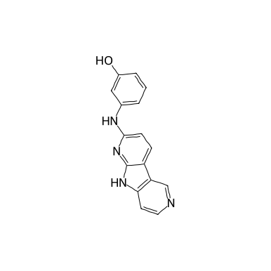 Oc1cccc(Nc2ccc3c(n2)[nH]c2ccncc23)c1